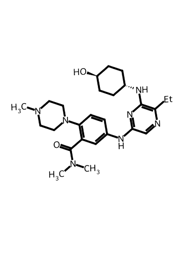 CCc1ncc(Nc2ccc(N3CCN(C)CC3)c(C(=O)N(C)C)c2)nc1N[C@H]1CC[C@H](O)CC1